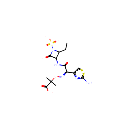 CCC1C(NC(=O)C(=NOC(C)(C)C(=O)O)c2csc(N)n2)C(=O)N1S(=O)(=O)O